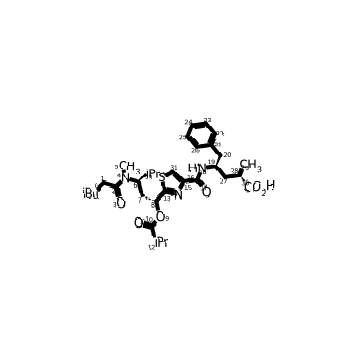 CCC(C)CC(=O)N(C)[C@H](C[C@@H](OC(=O)C(C)C)c1nc(C(=O)N[C@@H](Cc2ccccc2)C[C@H](C)C(=O)O)cs1)C(C)C